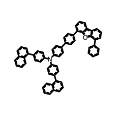 c1ccc(-c2cccc3c2oc2c(-c4ccc(-c5ccc(N(c6ccc(-c7cccc8ccccc78)cc6)c6ccc(-c7cccc8ccccc78)cc6)cc5)cc4)cccc23)cc1